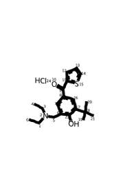 CCN(CC)Cc1cc(C(=O)c2cccs2)cc(C(C)(C)C)c1O.Cl